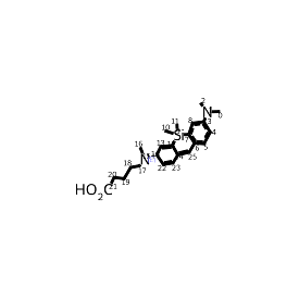 CN(C)c1ccc2c(c1)[Si](C)(C)C1=C/C(=[N+](\C)CCCCC(=O)O)C=CC1=C2